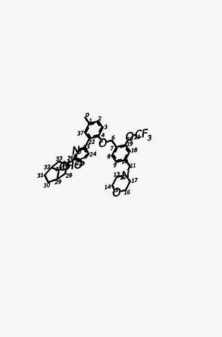 Cc1ccc(OCc2ccc(CN3CCOCC3)cc2OC(F)(F)F)c(-c2csc(N3CC4CCC(C3)C4C=O)n2)c1